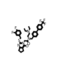 CCN(CC)CCN(Cc1ccc(-c2ccc(C(F)(F)F)cc2)cc1)C(=O)Cn1c(SCc2ccc(F)c(F)c2)nc2c(c1=O)CCC2